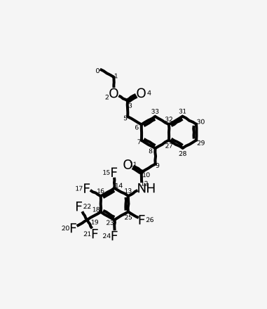 CCOC(=O)Cc1cc(CC(=O)Nc2c(F)c(F)c(C(F)(F)F)c(F)c2F)c2ccccc2c1